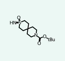 CC(C)(C)OC(=O)N1CCC2(CC1)CCS(=N)(=O)CC2